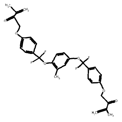 C=C(C)C(=O)COc1ccc(C(F)(F)Oc2ccc(OC(F)(F)c3ccc(OCC(=O)C(=C)C)cc3)c(C)c2)cc1